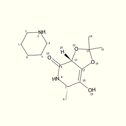 C1CCNCC1.C[C@@H]1NC(=O)[C@@H]2OC(C)(C)OC2=C1O